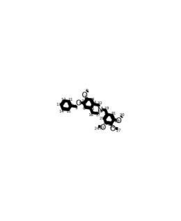 COc1cc2c(cc1OCc1ccccc1)CCN(Cc1cc(OC)c(OC)c(OC)c1)C2